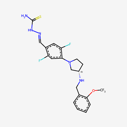 NC(=S)NN=Cc1cc(F)c(N2CC[C@H](NCc3ccccc3OC(F)(F)F)C2)cc1F